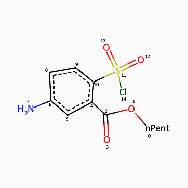 CCCCCOC(=O)c1cc(N)ccc1S(=O)(=O)Cl